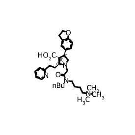 CCCCN(CCCC[N+](C)(C)C)C(=O)CN1C[C@H](c2ccc3c(c2)CCO3)[C@@H](C(=O)O)[C@@H]1CCc1ccccn1